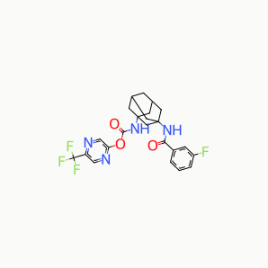 O=C(NC12CC3CC(C1)CC(NC(=O)c1cccc(F)c1)(C3)C2)Oc1cnc(C(F)(F)F)cn1